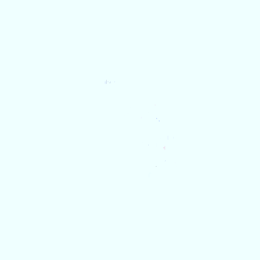 CC(C)COc1ccc(S(=O)(=O)NC(C=O)CC(=O)O)c(OCCc2cccc3ccccc23)c1.O=C(O)C(F)(F)F